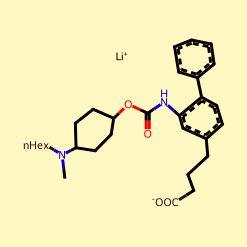 CCCCCCN(C)C1CCC(OC(=O)Nc2cc(CCCC(=O)[O-])ccc2-c2ccccc2)CC1.[Li+]